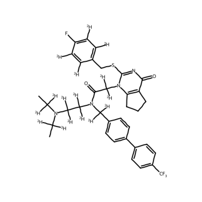 [2H]c1c([2H])c(CSc2nc(=O)c3c(n2C([2H])([2H])C(=O)N(C([2H])([2H])c2ccc(-c4ccc(C(F)(F)F)cc4)cc2)C([2H])([2H])C([2H])([2H])N(C([2H])([2H])C)C([2H])([2H])C)CCC3)c([2H])c([2H])c1F